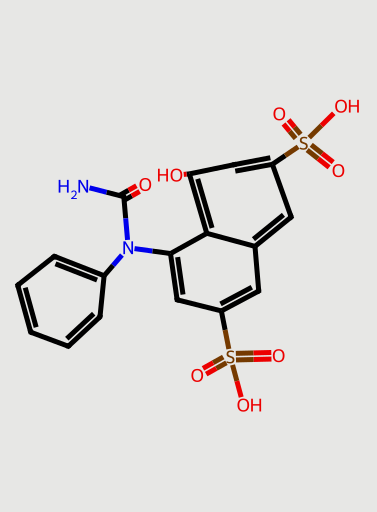 NC(=O)N(c1ccccc1)c1cc(S(=O)(=O)O)cc2cc(S(=O)(=O)O)cc(O)c12